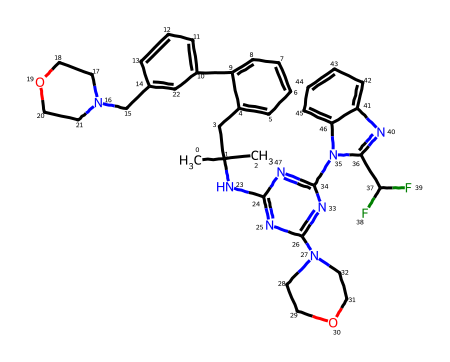 CC(C)(Cc1ccccc1-c1cccc(CN2CCOCC2)c1)Nc1nc(N2CCOCC2)nc(-n2c(C(F)F)nc3ccccc32)n1